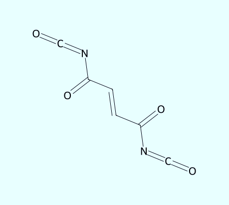 O=C=NC(=O)C=CC(=O)N=C=O